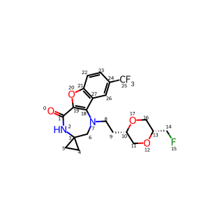 O=C1NC2(CC2)CN(CC[C@H]2CO[C@@H](CF)CO2)c2c1oc1ccc(C(F)(F)F)cc21